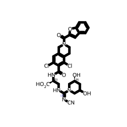 N#C/N=C(/NC[C@H](NC(=O)c1c(Cl)cc2c(c1Cl)CCN(C(=O)c1cc3ccccc3o1)C2)C(=O)O)N1CC(O)C[C@@H](O)C1